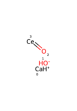 [CaH+].[OH-].[O]=[Ce]